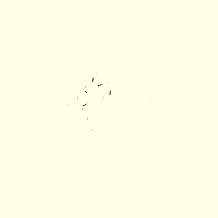 C=C(CC(=O)OC(C)C(=O)OCCCOC)C(=O)OC(C)C(=O)OCCCOC